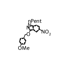 CCCCCn1nc(OCc2ccc(OC)cc2)c2cc([N+](=O)[O-])ccc21